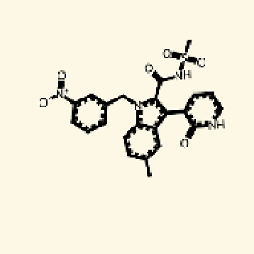 Cc1ccc2c(c1)c(-c1ccc[nH]c1=O)c(C(=O)NS(C)(=O)=O)n2Cc1cccc([N+](=O)[O-])c1